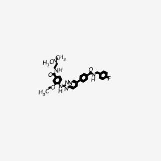 CCOc1cc(C(=O)NCCN(C)C)ccc1Nc1nc2ccc(-c3ccc(C(=O)NCc4ccc(F)cc4)cc3)cn2n1